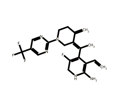 C=CC1=C(N)NCC(F)=C1/C(C)=C1\CN(c2ncc(C(F)(F)F)cn2)CCC1=C